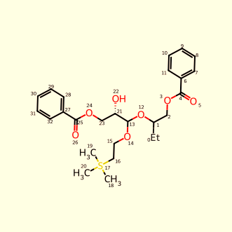 CCC(COC(=O)c1ccccc1)OC(OCCS(C)(C)C)[C@@H](O)COC(=O)c1ccccc1